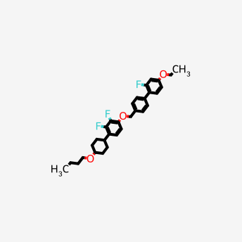 CCCCOC1CCC(c2ccc(OCc3ccc(-c4ccc(OCC)cc4F)cc3)c(F)c2F)CC1